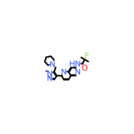 Cn1ncc(-c2ccc3cnc(NC(=O)C(C)(C)F)cc3n2)c1CN1CCCCC1